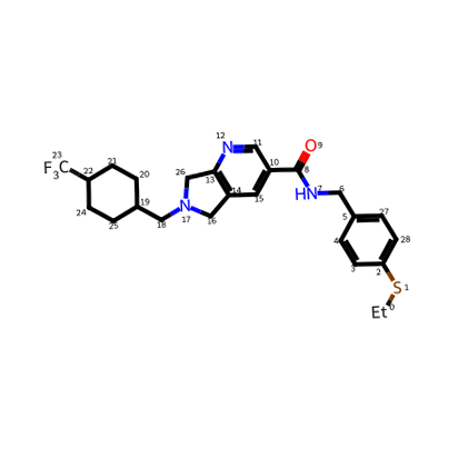 CCSc1ccc(CNC(=O)c2cnc3c(c2)CN(CC2CCC(C(F)(F)F)CC2)C3)cc1